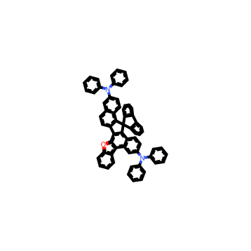 c1ccc(N(c2ccccc2)c2ccc3c4c(ccc3c2)-c2c(c3ccc(N(c5ccccc5)c5ccccc5)cc3c3c2oc2ccccc23)C42c3ccccc3-c3ccccc32)cc1